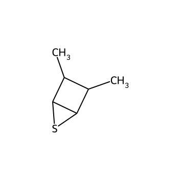 CC1C(C)C2SC12